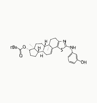 CCCCC(=O)O[C@H]1CC[C@H]2[C@@H]3CC=C4c5sc(Nc6cccc(O)c6)nc5CC[C@]4(C)[C@H]3CC[C@]12C